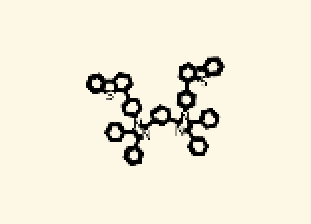 C1=CCCC(c2c(-c3ccccc3)nc(C3=CC(c4nc(C5=CCCC=C5)c(C5=CC=CCC5)n4-c4ccc(-c5cccc6c5sc5ccccc56)cc4)CC=C3)n2C2=CC=C(C3=CC=CC4c5ccccc5SC34)CC2)=C1